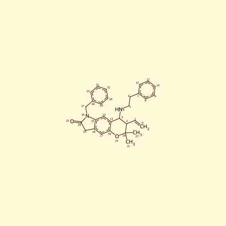 C=CC1C(NCCc2ccccc2)c2cc3c(cc2OC1(C)C)CC(=O)N3Cc1ccccc1